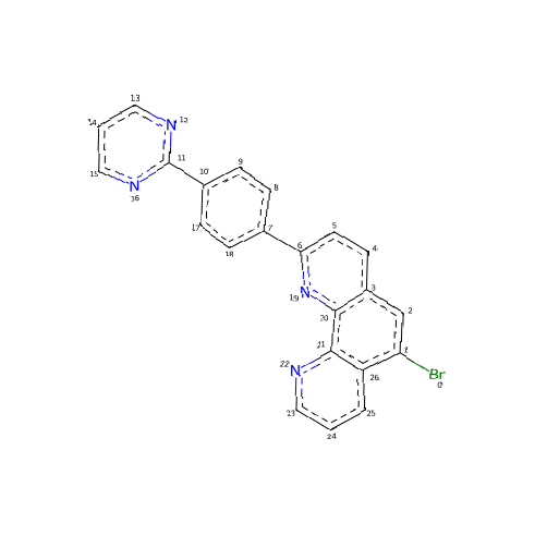 Brc1cc2ccc(-c3ccc(-c4ncccn4)cc3)nc2c2ncccc12